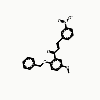 COc1ccc(OCc2ccccc2)c(C(=O)/C=C/c2cccc([N+](=O)[O-])c2)c1